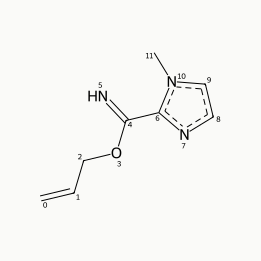 C=CCOC(=N)c1nccn1C